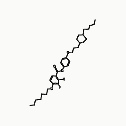 CCCCCCCOc1ccc(C(=O)Oc2ccc(OCCCC3CCC(CCCCC)CC3)cc2)c(F)c1F